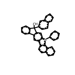 CC1(c2ccc3ccccc3c2)c2ccccc2-c2cc3c4ccc5ccccc5c4n(-c4ccccc4)c3cc21